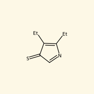 CCC1=C(CC)C(=S)C=N1